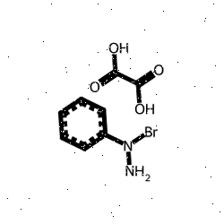 NN(Br)c1ccccc1.O=C(O)C(=O)O